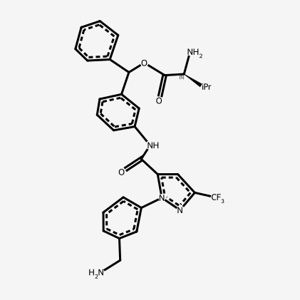 CC(C)[C@H](N)C(=O)OC(c1ccccc1)c1cccc(NC(=O)c2cc(C(F)(F)F)nn2-c2cccc(CN)c2)c1